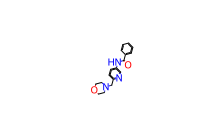 O=C(Nc1ccc(CN2CCOCC2)nc1)C1=C=C=CC=C1